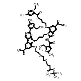 CCn1nc(C)cc1C(=O)Nc1nc2cc(C(N)=O)cc(OCCCOC(=O)c3cc(C)nn3CC)c2n1CC=CCn1c2nc(-c3cc(C)nn3CC)ncc2c2cc(C(N)=O)cc(OCCOCCOCCC(=O)OC(C)(C)C)c21